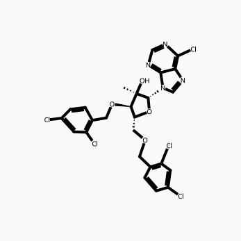 C[C@@]1(O)[C@H](OCc2ccc(Cl)cc2Cl)[C@@H](COCc2ccc(Cl)cc2Cl)O[C@H]1n1cnc2c(Cl)ncnc21